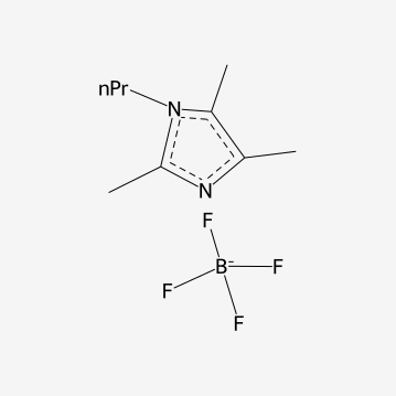 CCCn1c(C)nc(C)c1C.F[B-](F)(F)F